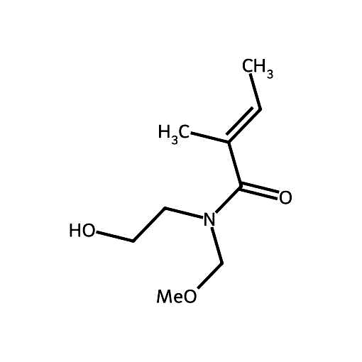 C/C=C(\C)C(=O)N(CCO)COC